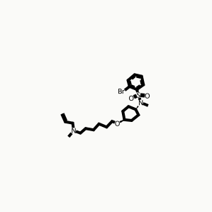 C=CCN(C)CCCCCCO[C@H]1CC[C@H](N(C)S(=O)(=O)c2ccccc2Br)CC1